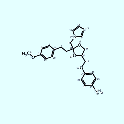 COc1ccc(CCC2(Cn3ccnc3)OCC(COc3ccc(N)cc3)O2)cc1